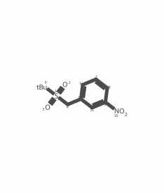 CC(C)(C)S(=O)(=O)Cc1cccc([N+](=O)[O-])c1